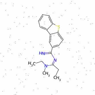 CC/C(=N/C(=N)c1ccc2sc3ccccc3c2c1)N(C)CC